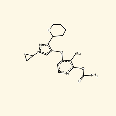 CC(C)(C)c1c(Oc2cn(C3CC3)nc2C2CCCCO2)ccnc1OC(N)=O